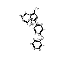 CC(C)C1=C2C=NC=C[N+]2(N)C(c2ccc(Oc3ccccc3)cc2)=N1